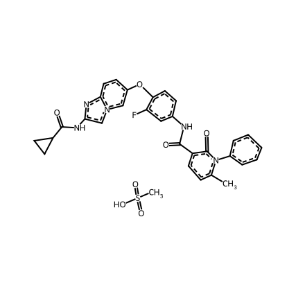 CS(=O)(=O)O.Cc1ccc(C(=O)Nc2ccc(Oc3ccc4nc(NC(=O)C5CC5)cn4c3)c(F)c2)c(=O)n1-c1ccccc1